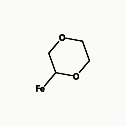 [Fe][CH]1COCCO1